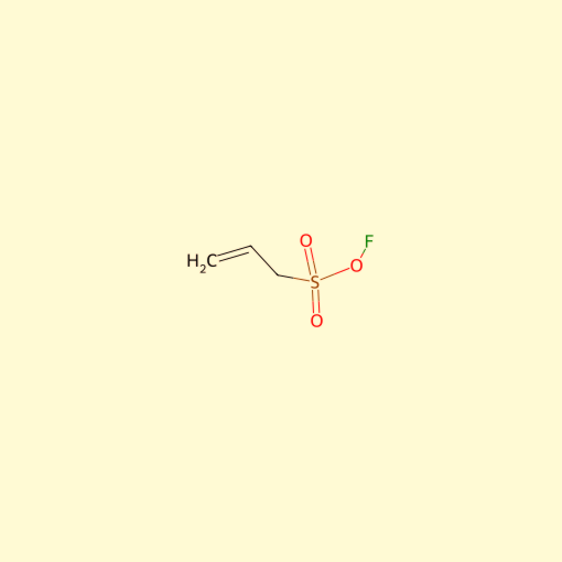 C=CCS(=O)(=O)OF